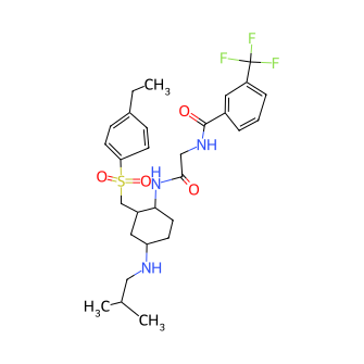 CCc1ccc(S(=O)(=O)CC2CC(NCC(C)C)CCC2NC(=O)CNC(=O)c2cccc(C(F)(F)F)c2)cc1